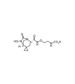 O=C(O)NCCONC(=O)[C@@H]1CC2(CC2)[C@@H]2CN1C(=O)N2O